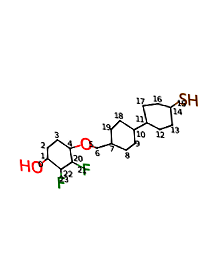 OC1CCC(OCC2CCC(C3CCC(S)CC3)CC2)C(F)C1F